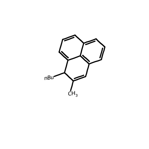 CCCCC1C(C)=Cc2cccc3cccc1c23